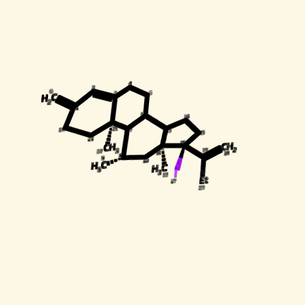 C=C1C=C2CCC3C([C@@H](C)C[C@@]4(C)C3CC[C@]4(I)C(=C)CC)[C@@]2(C)CC1